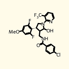 COc1cc(F)c([C@@H]2CN(c3ncccc3C(F)(F)F)C(O)C2CNC(=O)c2ccc(Cl)cc2)c(F)c1